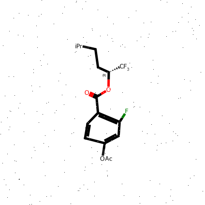 CC(=O)Oc1ccc(C(=O)O[C@H](CCC(C)C)C(F)(F)F)c(F)c1